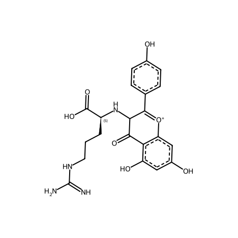 N=C(N)NCCC[C@H](NC1C(=O)c2c(O)cc(O)cc2[O+]=C1c1ccc(O)cc1)C(=O)O